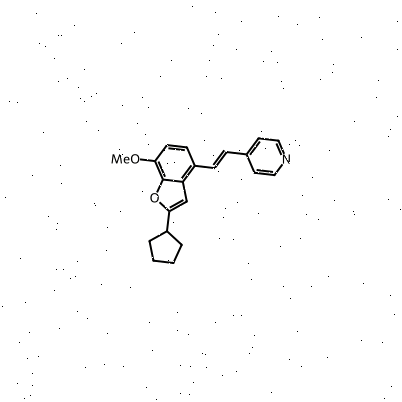 COc1ccc(C=Cc2ccncc2)c2cc(C3CCCC3)oc12